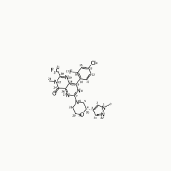 Cn1cc([C@H]2CN(c3nc(-c4ccc(Cl)cc4F)c4nc(C(F)(F)F)n(C)c(=O)c4n3)CCO2)cn1